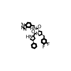 Cn1nnc2cc(CNC(=O)[C@@H]3C[C@@H](Cc4ccc(F)c(F)c4)CN3C(=O)C3C[C@@H](c4ccccc4)CN3)ccc21